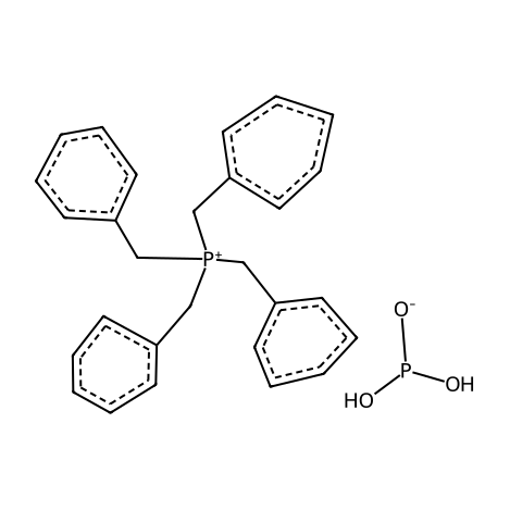 [O-]P(O)O.c1ccc(C[P+](Cc2ccccc2)(Cc2ccccc2)Cc2ccccc2)cc1